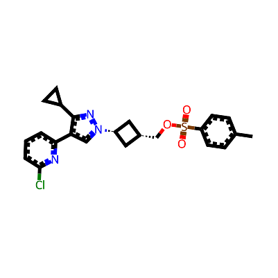 Cc1ccc(S(=O)(=O)OC[C@H]2C[C@@H](n3cc(-c4cccc(Cl)n4)c(C4CC4)n3)C2)cc1